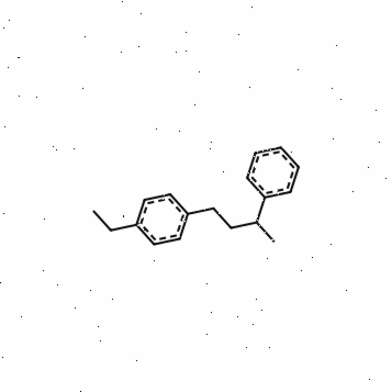 CCc1ccc(CCC(C)c2ccccc2)cc1